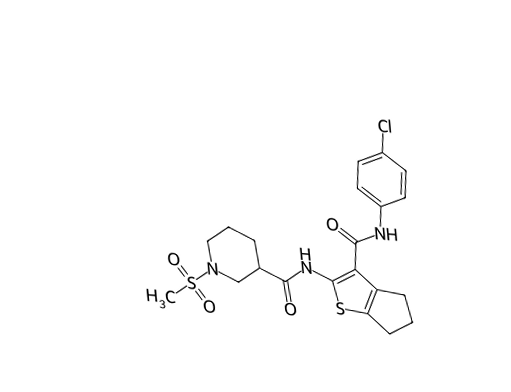 CS(=O)(=O)N1CCCC(C(=O)Nc2sc3c(c2C(=O)Nc2ccc(Cl)cc2)CCC3)C1